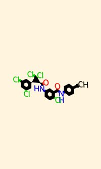 C#Cc1ccc(NC(=O)c2cc(NC(=O)[C@H]3[C@H](c4cc(Cl)cc(Cl)c4)C3(Cl)Cl)ccc2Cl)cc1